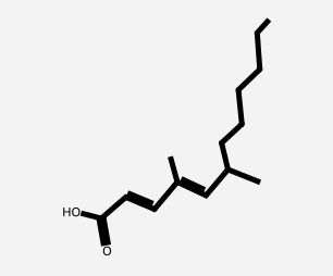 CCCCCCC(C)/C=C(C)/C=C/C(=O)O